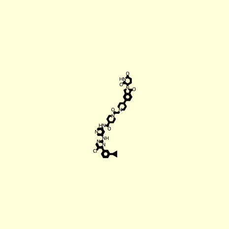 O=C1CCC(N2Cc3cc(C4CCN(CC(=O)N5CCC(C(=O)Nc6cncc(Nc7ncc(Cl)c(-c8cccc(C9CC9)c8)n7)c6)CC5)CC4)ccc3C2=O)C(=O)N1